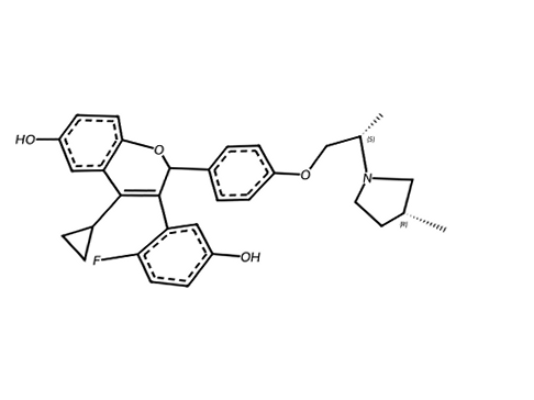 C[C@@H]1CCN([C@@H](C)COc2ccc(C3Oc4ccc(O)cc4C(C4CC4)=C3c3cc(O)ccc3F)cc2)C1